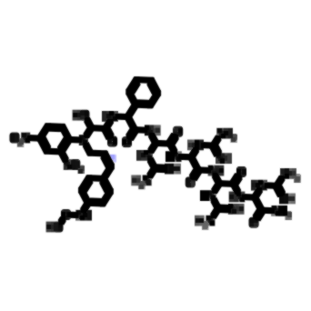 N=C(N)NC(NC(=O)C(NC(=N)N)NC(=O)C(NC(=N)N)NC(=O)C(NC(=N)N)NC(=O)C(NC(=O)C(O)N(C/C=C\c1ccc(NOO)cc1)c1ccc([N+](=O)[O-])cc1[N+](=O)[O-])c1ccccc1)C(N)=O